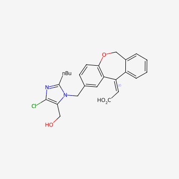 CCCCc1nc(Cl)c(CO)n1Cc1ccc2c(c1)/C(=C\C(=O)O)c1ccccc1CO2